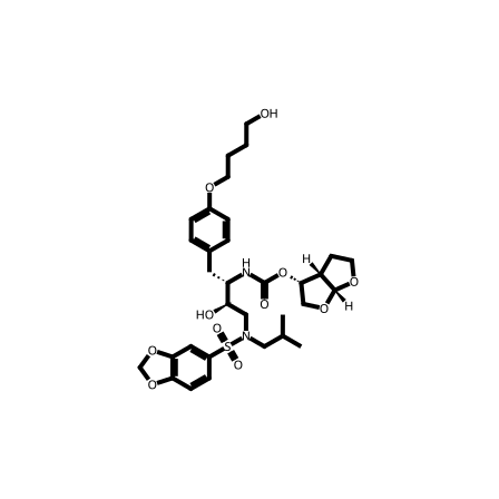 CC(C)CN(C[C@@H](O)[C@H](Cc1ccc(OCCCCO)cc1)NC(=O)O[C@H]1CO[C@H]2OCC[C@H]21)S(=O)(=O)c1ccc2c(c1)OCO2